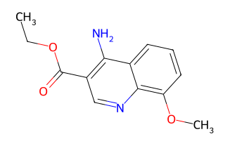 CCOC(=O)c1cnc2c(OC)cccc2c1N